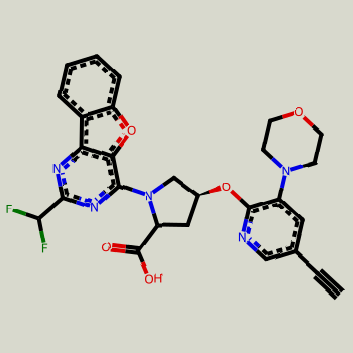 C#Cc1cnc(O[C@H]2CC(C(=O)O)N(c3nc(C(F)F)nc4c3oc3ccccc34)C2)c(N2CCOCC2)c1